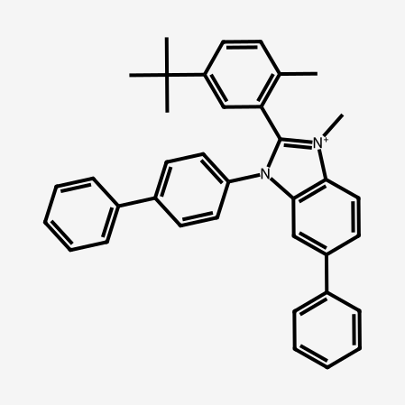 Cc1ccc(C(C)(C)C)cc1-c1n(-c2ccc(-c3ccccc3)cc2)c2cc(-c3ccccc3)ccc2[n+]1C